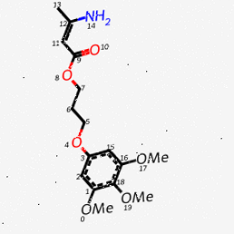 COc1cc(OCCCOC(=O)C=C(C)N)cc(OC)c1OC